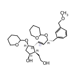 COCc1cccc(C[C@H](/C=C/[C@@H]2[C@@H](CCO)[C@@H](O)C[C@H]2OC2CCCCO2)OC2CCCCO2)c1